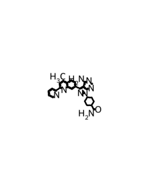 Cc1cc(-c2ccccn2)nc2cc(-c3nn(C4CCC(C(N)=O)CC4)c4ncnc(N)c34)ccc12